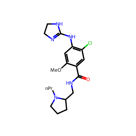 CCCN1CCCC1CNC(=O)c1cc(Cl)c(NC2=NCCN2)cc1OC